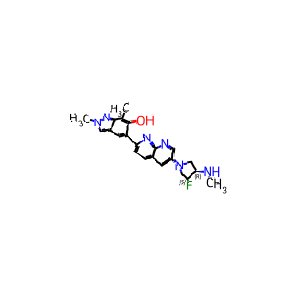 CN[C@@H]1CN(c2cnc3nc(-c4cc5cn(C)nc5c(C)c4O)ccc3c2)C[C@@H]1F